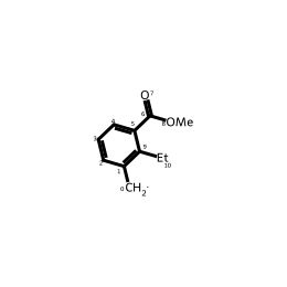 [CH2]c1cccc(C(=O)OC)c1CC